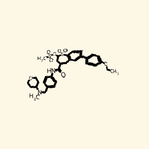 CCOc1ccc(-c2ccc3c(c2)C=C(C(=O)Nc2ccc(CN(C)C4CCOCC4)cc2)CC(OS(C)(=O)=O)S3(=O)=O)cc1